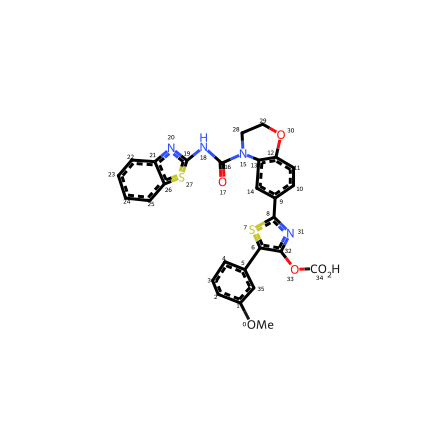 COc1cccc(-c2sc(-c3ccc4c(c3)N(C(=O)Nc3nc5ccccc5s3)CCO4)nc2OC(=O)O)c1